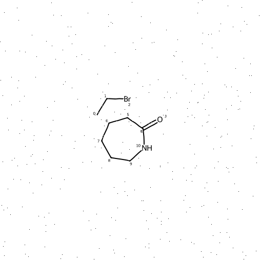 CCBr.O=C1CCCCCN1